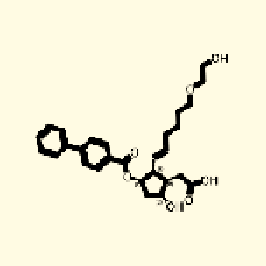 O=C(O)C[C@@H]1[C@@H](C=CCCCCOCCO)[C@H](OC(=O)c2ccc(-c3ccccc3)cc2)C[C@@H]1O